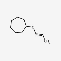 C/C=C/OC1CCCCCC1